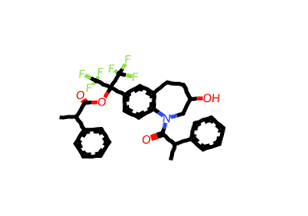 CC(C(=O)OC(c1ccc2c(c1)CCC(O)CN2C(=O)C(C)c1ccccc1)(C(F)(F)F)C(F)(F)F)c1ccccc1